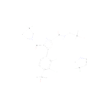 CC(C)(O)CNC(=O)c1nc(C(=O)N2CCC(F)(F)C2)c(-c2ccc(C(O)(C(F)(F)F)C(F)(F)F)c(Cl)c2Cl)s1.FC1(F)CCNC1